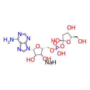 Nc1ncnc2c1ncn2[C@@H]1O[C@H](COP(=O)(O)O[C@]2(O)C[C@H](O)[C@@H](CO)O2)[C@@H](O)[C@H]1O.[NaH]